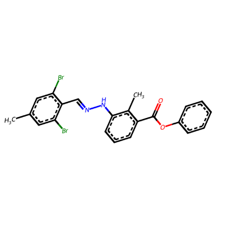 Cc1cc(Br)c(C=NNc2cccc(C(=O)Oc3ccccc3)c2C)c(Br)c1